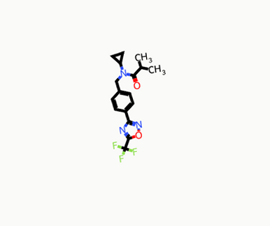 CC(C)C(=O)N(Cc1ccc(-c2noc(C(F)(F)F)n2)cc1)C1CC1